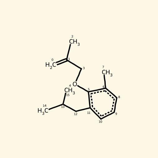 C=C(C)COc1c(C)cccc1CC(C)C